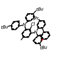 Cc1cc(N(c2ccc(C(C)(C)C)cc2)c2ccc(C(C)(C)C)cc2)c(Cl)c(N(c2ccc(C(C)(C)C)cc2)c2cc(C(C)C)ccc2-c2ccccc2)c1